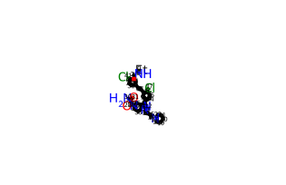 CCNCc1cc(C#Cc2cc(-c3nn(CCCN4CCCCC4)c4c3CN(C(=O)C(N)=O)CC4)ccc2Cl)ccc1Cl